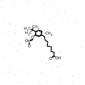 C.CC(C)(C)c1ccc(CCCCCCCC(=O)O)cc1OC=S(=O)=O